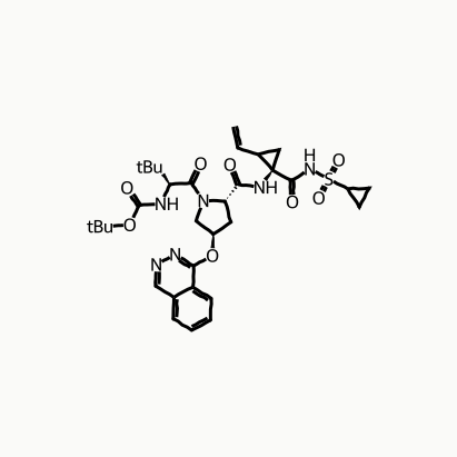 C=CC1C[C@]1(NC(=O)[C@@H]1C[C@@H](Oc2nncc3ccccc23)CN1C(=O)[C@@H](NC(=O)OC(C)(C)C)C(C)(C)C)C(=O)NS(=O)(=O)C1CC1